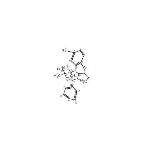 CCC(Oc1ccc(Br)cc1)C(CCc1cccnc1)O[Si](C)(C)C(C)(C)C